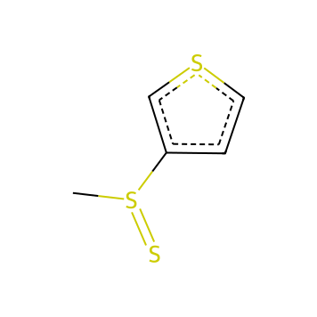 CS(=S)c1ccsc1